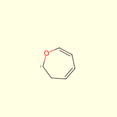 [C]1CC=CC=CO1